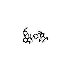 CC(C)N1CCN(c2cccc(F)c2NC(=O)N2CCC(C)(c3noc(C4(C)CC4)n3)CC2)CC1